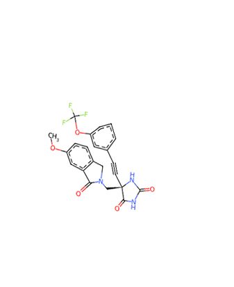 COc1ccc2c(c1)C(=O)N(C[C@@]1(C#Cc3cccc(OC(F)(F)F)c3)NC(=O)NC1=O)C2